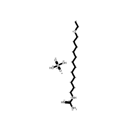 CCOCCCCCCCCCCCCNC(=N)N.O=S(=O)(O)O